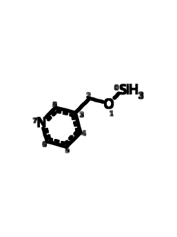 [SiH3]OCc1cccnc1